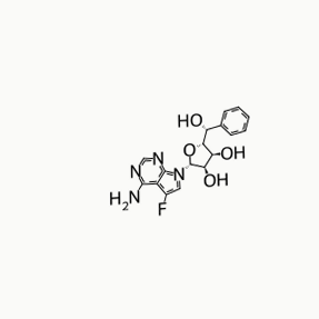 Nc1ncnc2c1c(F)cn2[C@@H]1O[C@H]([C@H](O)c2ccccc2)[C@@H](O)[C@H]1O